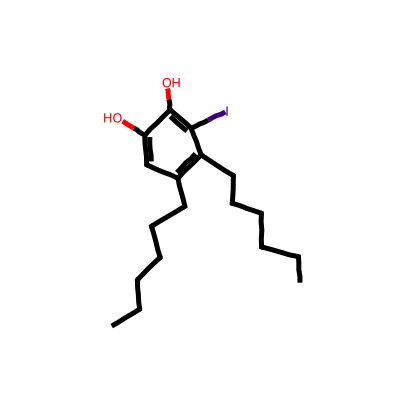 CCCCCCc1cc(O)c(O)c(I)c1CCCCCC